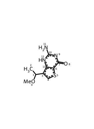 COC(C)c1csc2c(=O)nc(N)[nH]c12